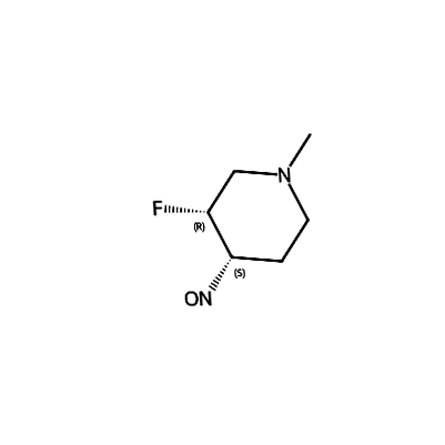 CN1CC[C@H](N=O)[C@H](F)C1